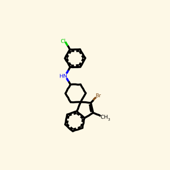 CC1=C(Br)C2(CCC(Nc3cccc(Cl)c3)CC2)c2ccccc21